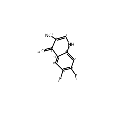 N#Cc1c[nH]c2cc(F)c(F)cc2c1=O